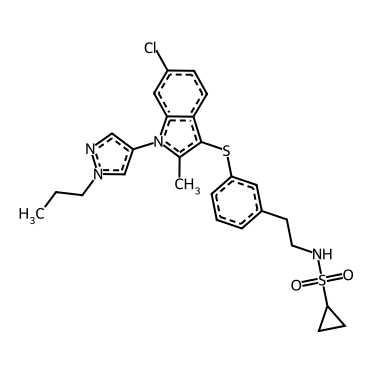 CCCn1cc(-n2c(C)c(Sc3cccc(CCNS(=O)(=O)C4CC4)c3)c3ccc(Cl)cc32)cn1